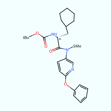 CSN(C(=O)[C@@H](CC1CCCCC1)NC(=O)OC(C)(C)C)c1ccc(Oc2ccccc2)nc1